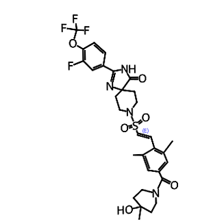 Cc1cc(C(=O)N2CCC(C)(O)CC2)cc(C)c1/C=C/S(=O)(=O)N1CCC2(CC1)N=C(c1ccc(OC(F)(F)F)c(F)c1)NC2=O